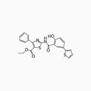 CCOC(=O)c1sc(NC(=O)c2cc(-c3cccs3)ccc2O)nc1-c1ccccc1